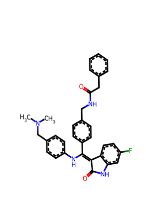 CN(C)Cc1ccc(N/C(=C2\C(=O)Nc3cc(F)ccc32)c2ccc(CNC(=O)Cc3ccccc3)cc2)cc1